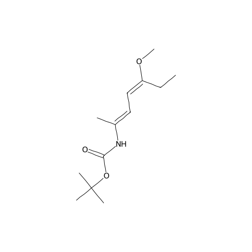 CC/C(=C\C=C(/C)NC(=O)OC(C)(C)C)OC